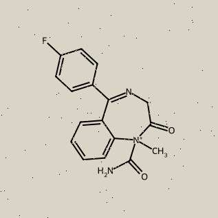 C[N+]1(C(N)=O)C(=O)[CH]N=C(c2ccc(F)cc2)c2ccccc21